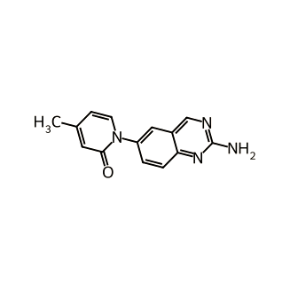 Cc1ccn(-c2ccc3nc(N)ncc3c2)c(=O)c1